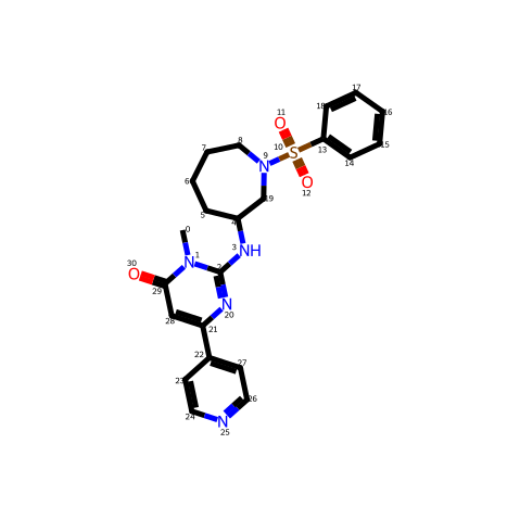 Cn1c(NC2CCCCN(S(=O)(=O)c3ccccc3)C2)nc(-c2ccncc2)cc1=O